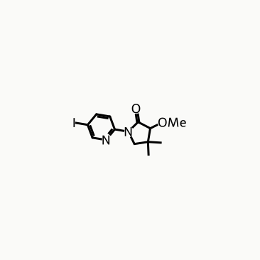 COC1C(=O)N(c2ccc(I)cn2)CC1(C)C